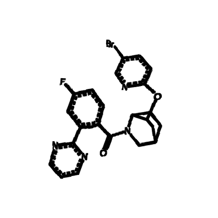 O=C(c1ccc(F)cc1-c1ncccn1)N1CC2CCC1C(Oc1ccc(Br)cn1)C2